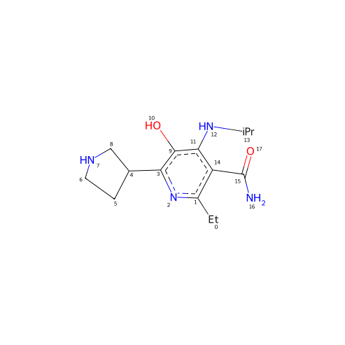 CCc1nc(C2CCNC2)c(O)c(NC(C)C)c1C(N)=O